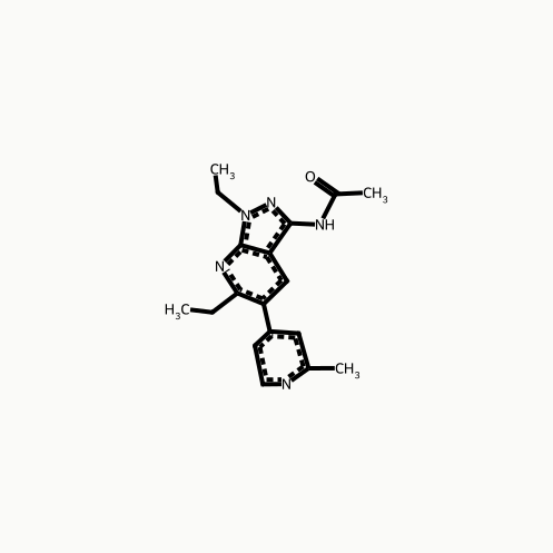 CCc1nc2c(cc1-c1ccnc(C)c1)c(NC(C)=O)nn2CC